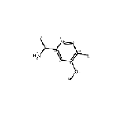 COc1cc(C(C)N)ncc1C